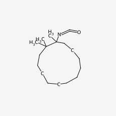 CC1(C)CCCCCCCCCCCC1(C)N=C=O